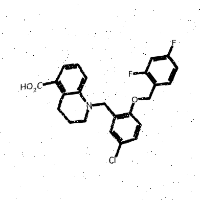 O=C(O)c1cccc2c1CCCN2Cc1cc(Cl)ccc1OCc1ccc(F)cc1F